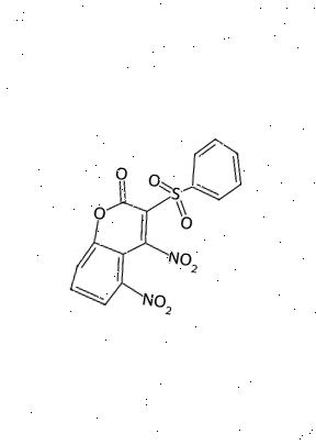 O=c1oc2cccc([N+](=O)[O-])c2c([N+](=O)[O-])c1S(=O)(=O)c1ccccc1